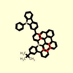 CC(C)(C)c1ccc(N(c2ccc(-c3ccc4c5ccccc5n(-c5ccccc5)c4c3)cc2)c2ccccc2-c2cccc3cccc(-c4ccccc4)c23)c(-c2ccccc2)c1